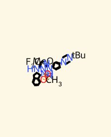 COc1cc(N2CCN(C(C)(C)C)CC2)ccc1Nc1ncc(C(F)(F)F)c(N[C@@H]2Cc3ccccc3[C@H]2NS(C)(=O)=O)n1